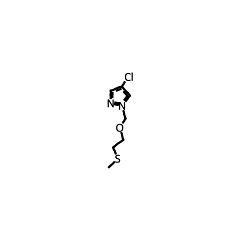 CSCCOCn1cc(Cl)cn1